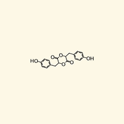 O=C1OC(Cc2ccc(O)cc2)C(=O)OC1Cc1ccc(O)cc1